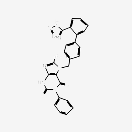 CCCCCc1nc2[nH]c(=O)n(-c3ccccc3)c(=O)c2n1Cc1ccc(-c2ccccc2-c2nnn[nH]2)cc1